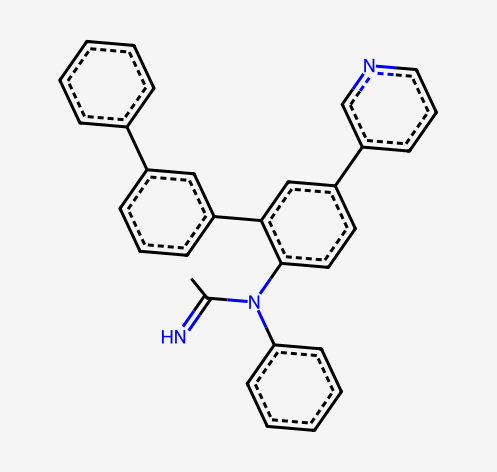 CC(=N)N(c1ccccc1)c1ccc(-c2cccnc2)cc1-c1cccc(-c2ccccc2)c1